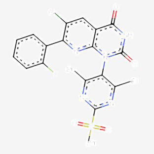 CCCS(=O)(=O)c1nc(C(C)C)c(-n2c(=O)[nH]c(=O)c3cc(Cl)c(-c4ccccc4F)nc32)c(C(C)C)n1